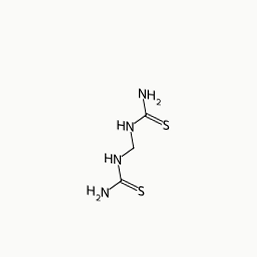 NC(=S)NCNC(N)=S